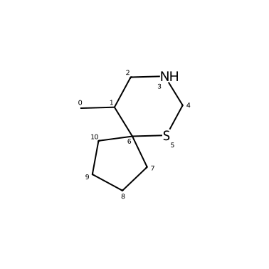 CC1CNCSC12CCCC2